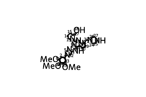 COc1cc(-n2cnc(Nc3nc(N4CCCC4CO)nn4c(CN5CCNCC5)ccc34)c2)cc(OC)c1OC